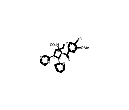 COc1cc(C(=O)N2[C@@H](c3ccccn3)[C@@H](c3cnccn3)C[C@@]2(CC(C)C)C(=O)O)ccc1C(C)(C)C